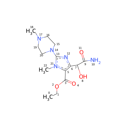 CCOC(=O)c1c(C(O)C(N)=O)nc(N2CCN(C)CC2)n1C